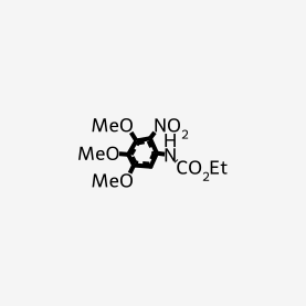 CCOC(=O)Nc1cc(OC)c(OC)c(OC)c1[N+](=O)[O-]